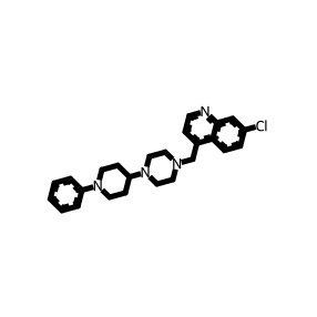 Clc1ccc2c(CN3CCN(C4CCN(c5ccccc5)CC4)CC3)ccnc2c1